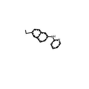 CCc1ccc2cc(Nc3ccccn3)ccc2c1